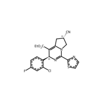 CCOC(=O)C1=C2C[C@H](C#N)CN2C(c2nccs2)=N[C@H]1c1ccc(F)cc1Cl